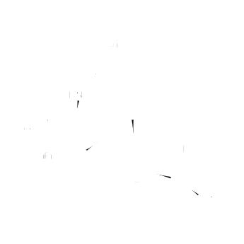 CC(=O)O[C@H]1CC[C@]2(C)[C@H]3CC[C@@H]4C5=C(C(C)C)C(=O)C[C@]5(NC(=O)OC(C)(C)C)CC[C@@]4(C)[C@]3(C)CC[C@H]2C1(C)C